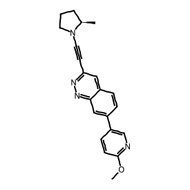 COc1ccc(-c2ccc3cc(C#CN4CCC[C@H]4C)nnc3c2)cn1